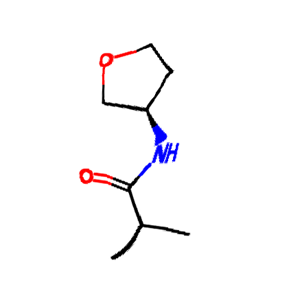 CC(C)C(=O)N[C@@H]1CCOC1